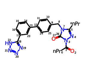 CCCC(=O)n1nc(CCC)n(Cc2ccc(-c3cccc(-c4nnn[nH]4)c3)cc2)c1=O